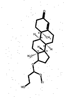 CCOC(CCO)OC1CC[C@H]2[C@@H]3CCC4=CC(=O)CC[C@]4(C)[C@@H]3CC[C@]12C